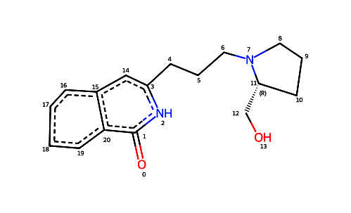 O=c1[nH]c(CCCN2CCC[C@@H]2CO)cc2ccccc12